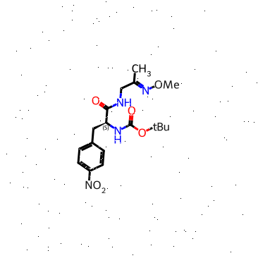 CON=C(C)CNC(=O)[C@H](Cc1ccc([N+](=O)[O-])cc1)NC(=O)OC(C)(C)C